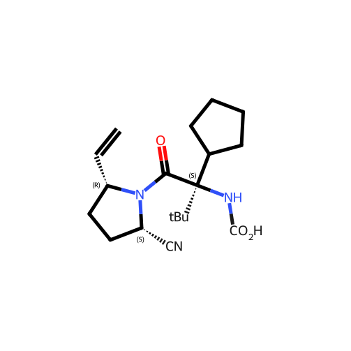 C=C[C@H]1CC[C@@H](C#N)N1C(=O)[C@](NC(=O)O)(C1CCCC1)C(C)(C)C